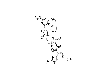 CCON=C(C(=O)NC1C(=O)N2CC(CSc3nc(N)cc(N)[n+]3-c3ccccc3)(C(=O)[O-])CS[C@H]12)c1csc(N)n1